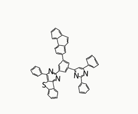 c1ccc(-c2cc(-c3cc(-c4ccc5c(ccc6ccccc65)c4)cc(-c4nc(-c5ccccc5)c5sc6ccccc6c5n4)c3)nc(-c3ccccc3)n2)cc1